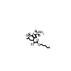 CCN(C(=O)OCCCCI)[C@H]1CC(C)S(=O)(=O)c2sc(S(N)(=O)=O)cc21